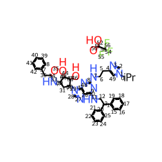 CC(C)n1cnc(CCNc2nc(NCC(c3ccccc3)c3ccccc3)c3ncn([C@@H]4C[C@H](NC(=O)Cc5ccccc5)[C@@H](O)[C@H]4O)c3n2)c1.O=C(O)C(F)(F)F